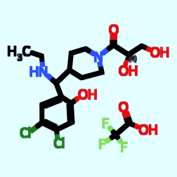 CCNC(c1cc(Cl)c(Cl)cc1O)C1CCN(C(=O)[C@H](O)CO)CC1.O=C(O)C(F)(F)F